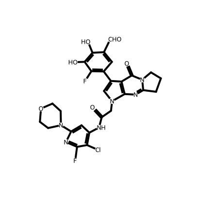 O=Cc1cc(-c2cn(CC(=O)Nc3cc(N4CCOCC4)nc(F)c3Cl)c3nc4n(c(=O)c23)CCC4)c(F)c(O)c1O